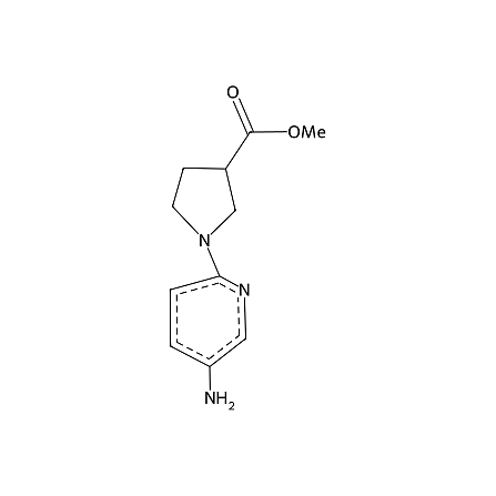 COC(=O)C1CCN(c2ccc(N)cn2)C1